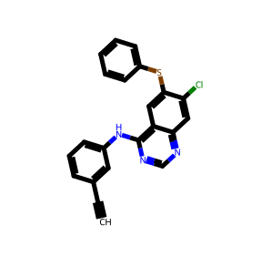 C#Cc1cccc(Nc2ncnc3cc(Cl)c(Sc4ccccc4)cc23)c1